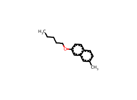 CCCCCOc1ccc2ccc(C)cc2c1